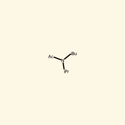 CCC(C)N(C(C)=O)C(C)C